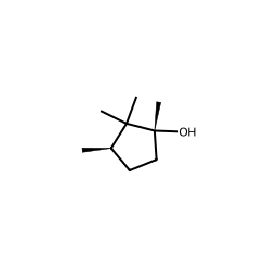 C[C@@H]1CC[C@@](C)(O)C1(C)C